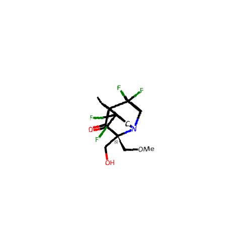 COC[C@@]1(CO)C(=O)C2(C)C(F)(F)CN1CC2(F)F